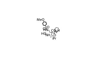 COc1ccc(S(=O)(=O)NCC[C@](CCC(C)C)(C(=O)O)C(=O)N2CCCCC2)cc1.NO